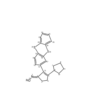 ON=C1CCC(C2CCCC2)=C1c1ccc2c(c1)Sc1ccccc1S2